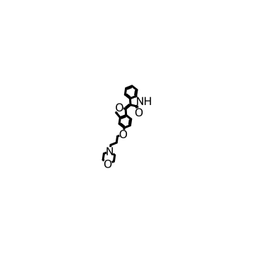 O=C1Nc2ccccc2C1=C1OCc2cc(OCCCN3CCOCC3)ccc21